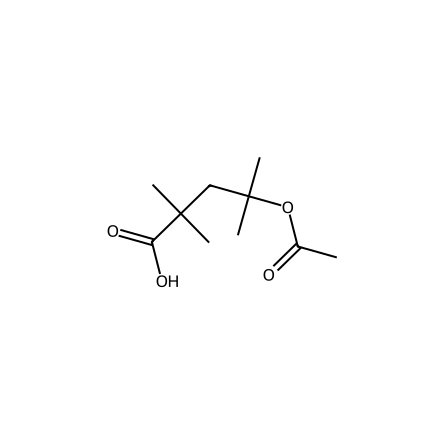 CC(=O)OC(C)(C)CC(C)(C)C(=O)O